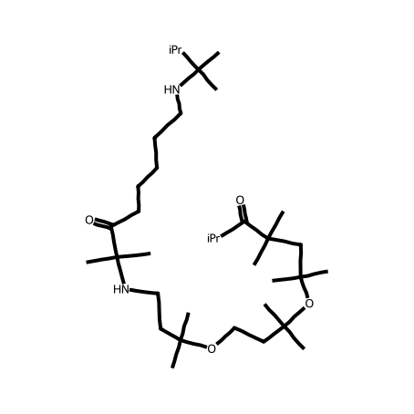 CC(C)C(=O)C(C)(C)CC(C)(C)OC(C)(C)CCOC(C)(C)CCNC(C)(C)C(=O)CCCCCNC(C)(C)C(C)C